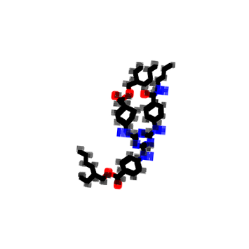 CCCCNC(=O)c1ccc(Nc2nc(Nc3ccc(C(=O)OCC(CC)CCCC)cc3)nc(Nc3ccc(C(=O)OCC(CC)CCCC)cc3)n2)cc1